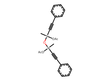 CC(=O)O[Si](C)(C#Cc1ccccc1)O[Si](C)(C#Cc1ccccc1)OC(C)=O